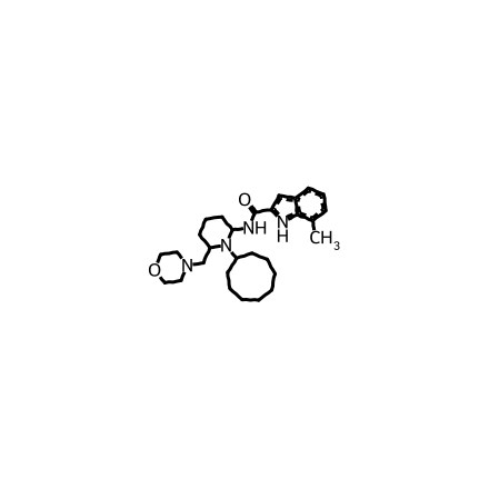 Cc1cccc2cc(C(=O)NC3CCCC(CN4CCOCC4)N3C3CCCCCCCC3)[nH]c12